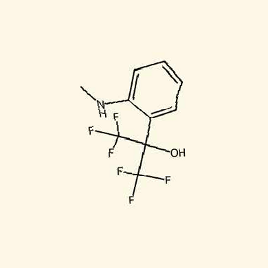 CNc1ccccc1C(O)(C(F)(F)F)C(F)(F)F